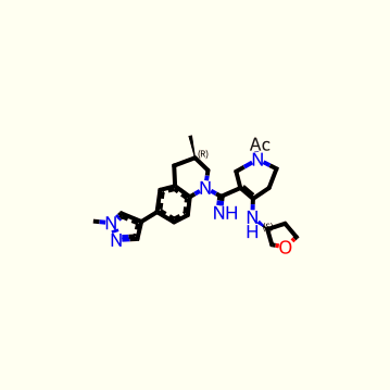 CC(=O)N1CCC(N[C@H]2CCOC2)=C(C(=N)N2C[C@H](C)Cc3cc(-c4cnn(C)c4)ccc32)C1